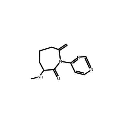 C=C1CCCC(NC)C(=O)N1c1ccncn1